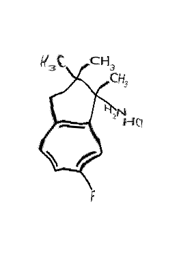 CC1(C)Cc2ccc(F)cc2C1(C)N.Cl